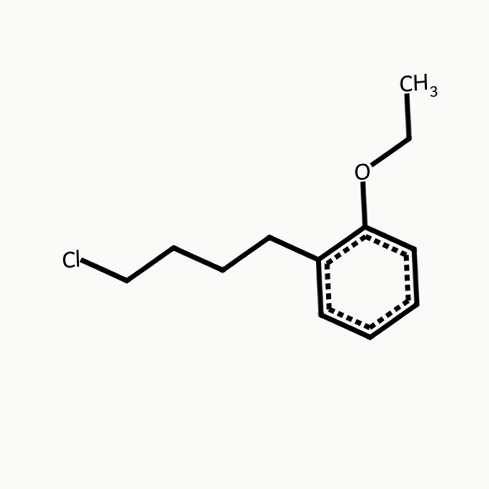 CCOc1ccccc1CCCCCl